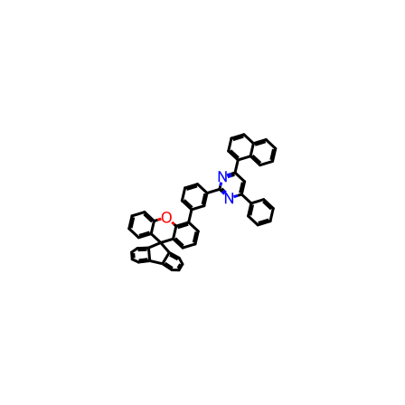 c1ccc(-c2cc(-c3cccc4ccccc34)nc(-c3cccc(-c4cccc5c4Oc4ccccc4C54c5ccccc5-c5ccccc54)c3)n2)cc1